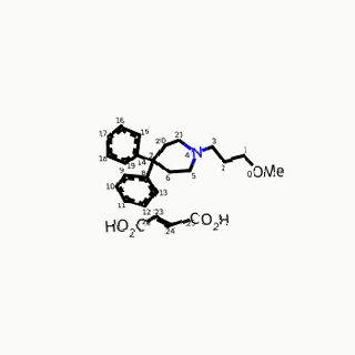 COCCCN1CCC(c2ccccc2)(c2ccccc2)CC1.O=C(O)C=CC(=O)O